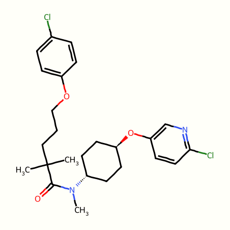 CN(C(=O)C(C)(C)CCCOc1ccc(Cl)cc1)[C@H]1CC[C@H](Oc2ccc(Cl)nc2)CC1